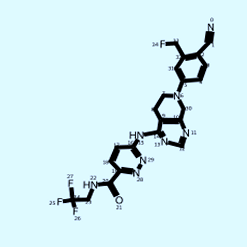 N#Cc1ccc(N2CCc3c(ncnc3Nc3ccc(C(=O)NCC(F)(F)F)nn3)C2)cc1CF